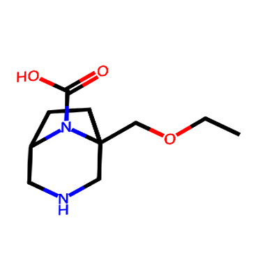 CCOCC12CCC(CNC1)N2C(=O)O